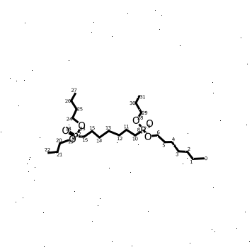 CCCCCCCOP(=O)(CCCCCCCP(=O)(OCCC)OCCCC)OCCC